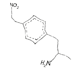 CC(N)Cc1ccc(C[N+](=O)[O-])cc1